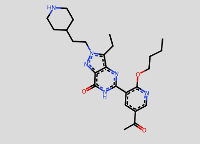 CCCCOc1ncc(C(C)=O)cc1-c1nc2c(CC)n(CCC3CCNCC3)nc2c(=O)[nH]1